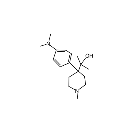 CN1CCC(c2ccc(N(C)C)cc2)(C(C)(C)O)CC1